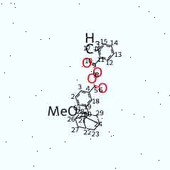 COc1ccc(C(=O)OOC(=O)c2ccccc2C)cc1C12CC3CC(CC(C3)C1)C2